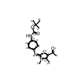 CC(=O)c1s/c(=N\c2ccc(NC(=O)OC(C)(C)C)cc2)n(C)c1C